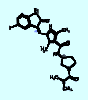 Cc1[nH]c(/C=C2\C(=O)Nc3ccc(F)cc32)c(C)c1C(=O)N[C@H]1CCN(C(=O)N(C)C)C1